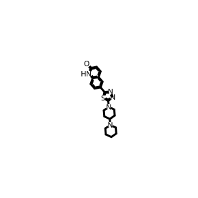 O=c1ccc2cc(-c3nnc(N4CCC(N5CCCCC5)CC4)s3)ccc2[nH]1